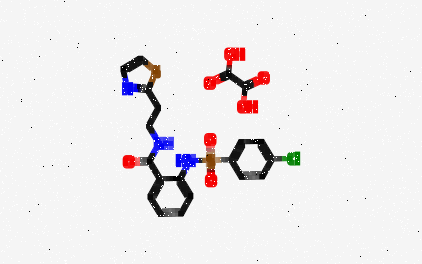 O=C(NCCc1nccs1)c1ccccc1NS(=O)(=O)c1ccc(Cl)cc1.O=C(O)C(=O)O